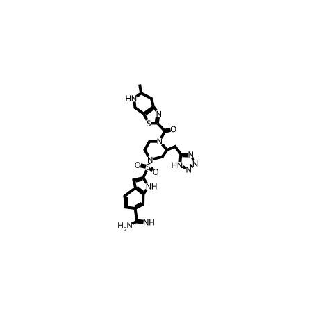 CC1Cc2nc(C(=O)N3CCN(S(=O)(=O)c4cc5ccc(C(=N)N)cc5[nH]4)CC3Cc3nnn[nH]3)sc2CN1